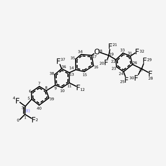 C/C(F)=C(\F)c1ccc(-c2cc(F)c(-c3ccc(OC(F)(F)c4cc(F)c(C(F)(F)F)c(F)c4)cc3)c(F)c2)cc1